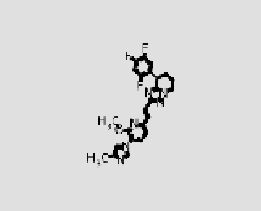 COc1nc(/C=C/c2nc3n(n2)CCC[C@@H]3c2cc(F)c(F)cc2F)ccc1-n1cnc(C)c1